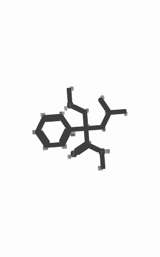 COCC(CC(C)C)(C(=O)OC)c1ccccc1